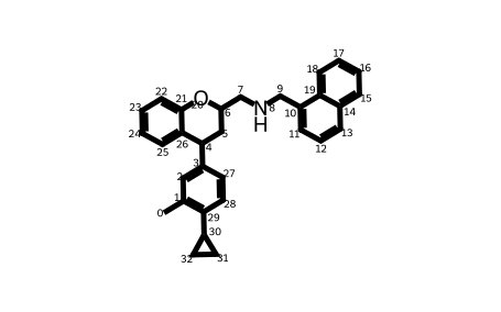 Cc1cc(C2CC(CNCc3cccc4ccccc34)Oc3ccccc32)ccc1C1CC1